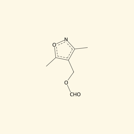 Cc1noc(C)c1COC=O